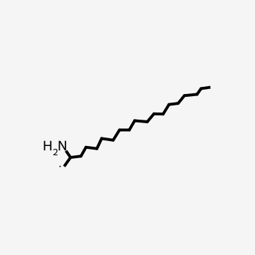 [CH2]C(N)CCCCCCCCCCCCCCCCC